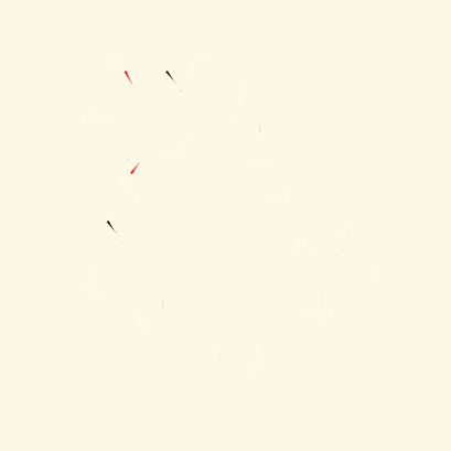 [2H]C([2H])([2H])Oc1cc([C@]2([2H])c3cc4c(cc3[C@@H](O[C@@H]3O[C@H]5[C@@H](O[C@H](C)OC5([2H])[2H])[C@H](O)[C@H]3O)[C@H]3COC(=O)[C@@H]32)OCO4)cc(OC([2H])([2H])[2H])c1O